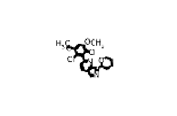 COc1cc(OC)c(Cl)c(-c2ccc3cnn(C4CCCCO4)c3n2)c1Cl